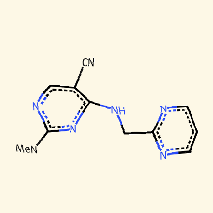 CNc1ncc(C#N)c(NCc2ncccn2)n1